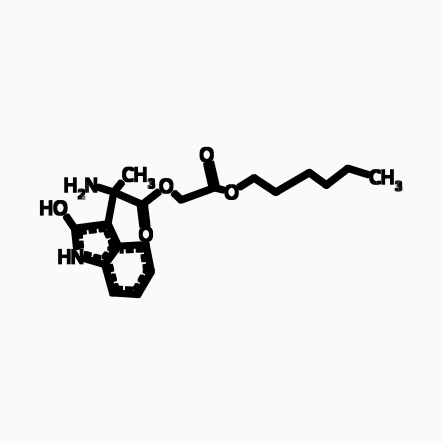 CCCCCCOC(=O)COC(=O)C(C)(N)c1c(O)[nH]c2ccccc12